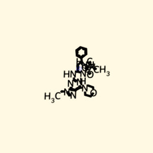 CCn1cnc2c(N3CCOCC3)nc(N/C(=C/C(=N)c3ccccc3)NS(=O)(=O)N(C)C)nc21